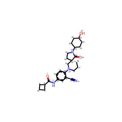 N#Cc1cc(NC(=O)C2CCC2)ccc1N1CCC[C@@]2(CCN(C3CCC(O)CC3)C2=O)C1